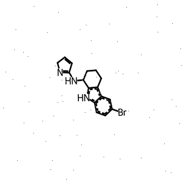 Brc1ccc2[nH]c3c(c2c1)CCCC3NC1=NCC=C1